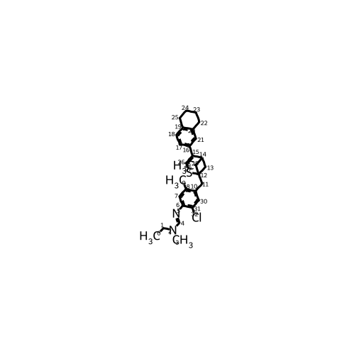 CCN(C)/C=N/c1cc(C)c(CC23CC(C(c4ccc5c(c4)CCCC5)=CS2)C3C)cc1Cl